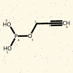 C#CCOP(O)O